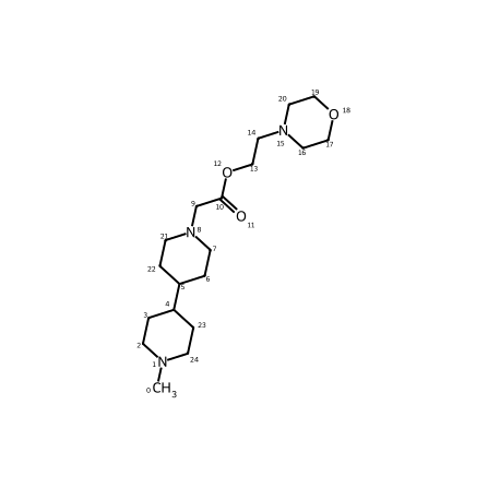 CN1CCC(C2CCN(CC(=O)OCCN3CCOCC3)CC2)CC1